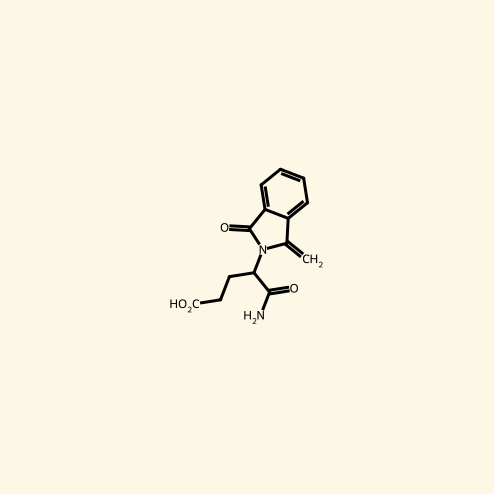 C=C1c2ccccc2C(=O)N1C(CCC(=O)O)C(N)=O